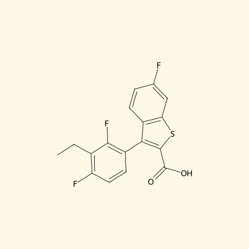 CCc1c(F)ccc(-c2c(C(=O)O)sc3cc(F)ccc23)c1F